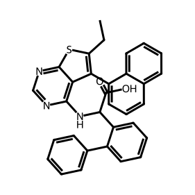 CCc1sc2ncnc(NC(C(=O)O)c3ccccc3-c3ccccc3)c2c1-c1cccc2ccccc12